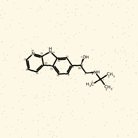 CC(C)(C)NC[C@H](O)c1ccc2c(c1)[nH]c1ncccc12